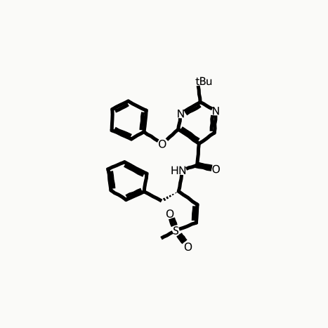 CC(C)(C)c1ncc(C(=O)N[C@H](/C=C\S(C)(=O)=O)Cc2ccccc2)c(Oc2ccccc2)n1